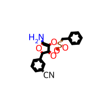 N#Cc1cccc(C2OC(N)=C(OS(=O)(=O)Cc3ccccc3)C2=O)c1